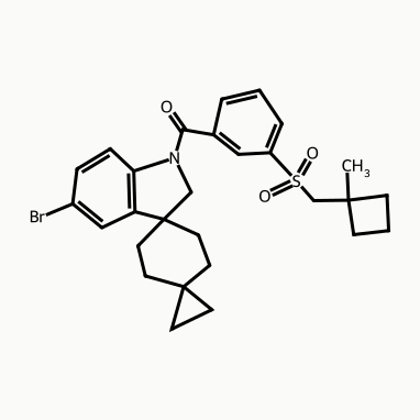 CC1(CS(=O)(=O)c2cccc(C(=O)N3CC4(CCC5(CC5)CC4)c4cc(Br)ccc43)c2)CCC1